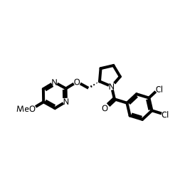 COc1cnc(OC[C@@H]2CCCN2C(=O)c2ccc(Cl)c(Cl)c2)nc1